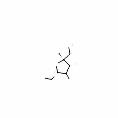 COC[C@@]1(C)O[C@H](CO)C(O)[C@H]1O